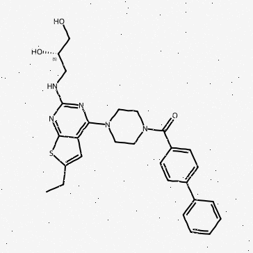 CCc1cc2c(N3CCN(C(=O)c4ccc(-c5ccccc5)cc4)CC3)nc(NC[C@H](O)CO)nc2s1